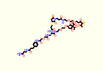 CNC(=O)CCNC(=O)CCc1ccc(NC(=O)COCC(=O)NC[C@@H](NC(=O)CCSC2CC(=O)N(CCC(=O)NCCOCCOCCC(=O)C3(C(C)=O)SS3)C2=O)C(=O)NCCOCCOCCC(=O)C(C(C)=O)(C(C)=O)C(C)=O)cc1